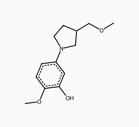 COCC1CCN(c2ccc(OC)c(O)c2)C1